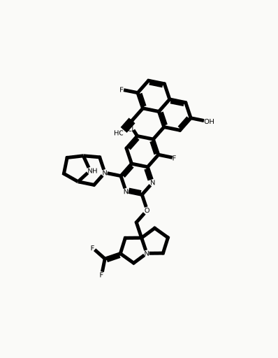 C#Cc1c(F)ccc2cc(O)cc(-c3c(Cl)cc4c(N5CC6CCC(C5)N6)nc(OCC56CCCN5CC(=C(F)F)C6)nc4c3F)c12